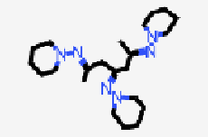 C/C(CC(C/C(C)=N/N1CCCCC1)=NN1CCCCC1)=N\N1CCCCC1